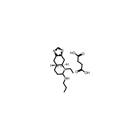 CCCNC1CC[C@@H]2Cc3ncsc3C[C@H]2N1CC.O=C(O)CCC(=O)O